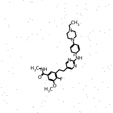 CCN1CCN(C2=CC[C@@H](Nc3ncc(CCc4cc(C(=O)NC)cc(OC)c4F)cn3)C=C2)CC1